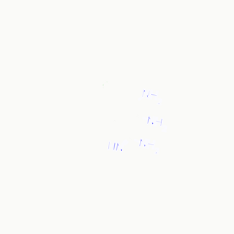 Cl.N=C(N)c1c(Cc2ccccc2)ccc(N)c1N